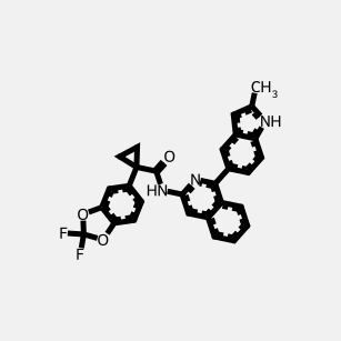 Cc1cc2cc(-c3nc(NC(=O)C4(c5ccc6c(c5)OC(F)(F)O6)CC4)cc4ccccc34)ccc2[nH]1